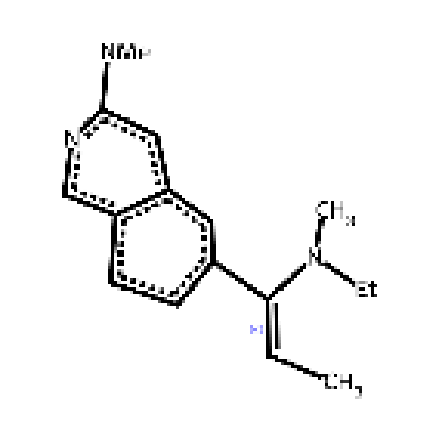 C/C=C(/c1ccc2cnc(NC)cc2c1)N(C)CC